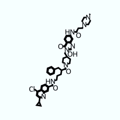 CN1CCN(CCC(=O)Nc2ccc3c(=O)n(CC4(O)CCN(C(=O)C(CCCNC(=O)c5ccc6c(Cl)cc(C7CC7)nc6c5)Cc5ccccc5)CC4)cnc3c2)CC1